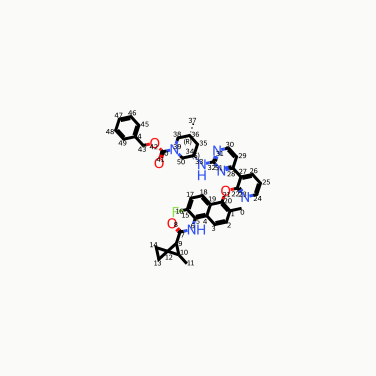 Cc1ccc2c(NC(=O)C3C(C)C34CC4)c(F)ccc2c1Oc1ncccc1-c1ccnc(N[C@H]2C[C@@H](C)CN(C(=O)OCc3ccccc3)C2)n1